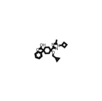 Cc1nc(C2(OCC3CC3)CCC(C(=O)O)(c3ccccc3)CC2)nn1C1CCC1